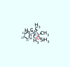 CC(O[SiH3])C(C)C(C)(C)c1ccccc1